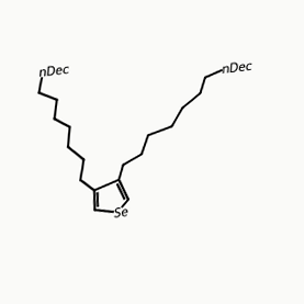 CCCCCCCCCCCCCCCCCc1c[se]cc1CCCCCCCCCCCCCCCCC